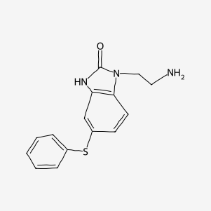 NCCn1c(=O)[nH]c2cc(Sc3ccccc3)ccc21